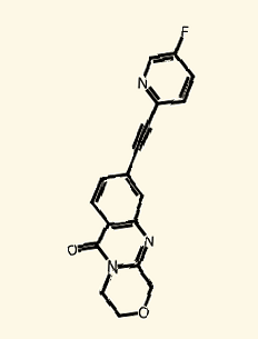 O=c1c2ccc(C#Cc3ccc(F)cn3)cc2nc2n1CCOC2